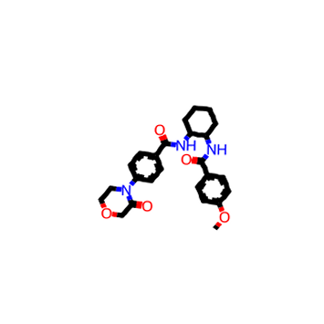 COc1ccc(C(=O)NC2CCCCC2NC(=O)c2ccc(N3CCOCC3=O)cc2)cc1